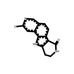 O=C1NCCc2[nH]c3c(ccc4cnc(Cl)cc43)c21